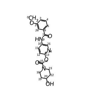 COc1cccc(C(=O)Nc2ccc(OC(=O)N3CCC(O)CC3)nc2)c1